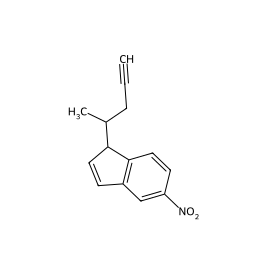 C#CCC(C)C1C=Cc2cc([N+](=O)[O-])ccc21